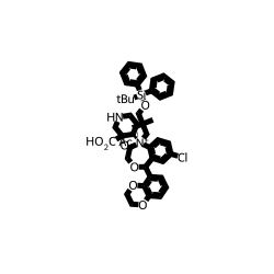 CC(=O)[C@@]1(C(=O)O)CNCC[C@H]1[N+]1(CC(C)(C)CO[Si](c2ccccc2)(c2ccccc2)C(C)(C)C)C(=O)COC(c2cccc3c2OCCO3)c2cc(Cl)ccc21